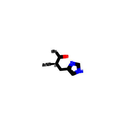 CC(=O)N[C@@H](Cc1c[nH]cn1)C(=O)C(C)(C)C